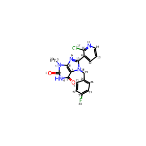 CC(C)n1c(=O)[nH]c(=O)c2c1nc(-c1cccnc1Cl)n2Cc1ccc(F)cc1